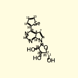 OC[C@H]1O[C@@H](n2ccc3c(-c4ccc[se]4)ncnc32)[C@H](O)[C@@H]1O